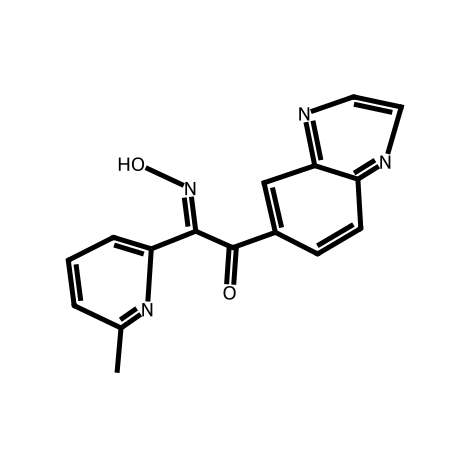 Cc1cccc(C(=NO)C(=O)c2ccc3nccnc3c2)n1